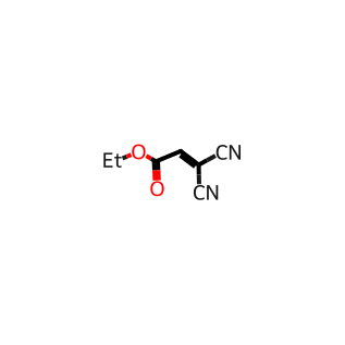 CCOC(=O)C=C(C#N)C#N